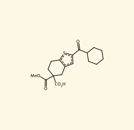 COC(=O)C1(C(=O)O)CCc2sc(C(=O)C3CCCCC3)cc2C1